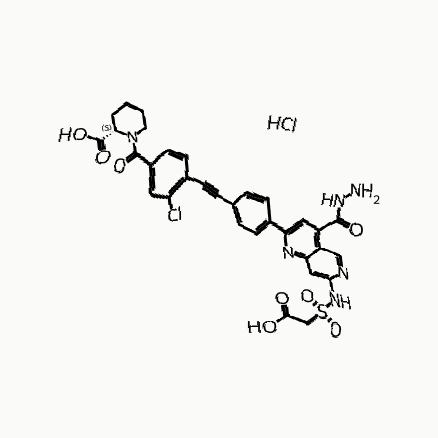 Cl.NNC(=O)c1cc(-c2ccc(C#Cc3ccc(C(=O)N4CCCC[C@H]4C(=O)O)cc3Cl)cc2)nc2cc(NS(=O)(=O)CC(=O)O)ncc12